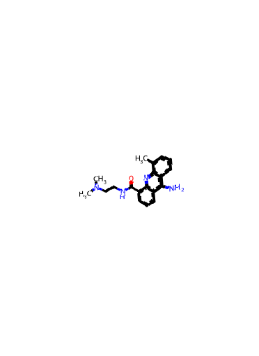 Cc1cccc2c(N)c3cccc(C(=O)NCCN(C)C)c3nc12